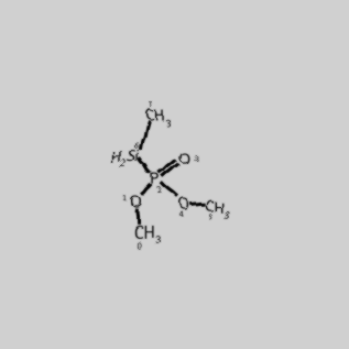 COP(=O)(OC)[SiH2]C